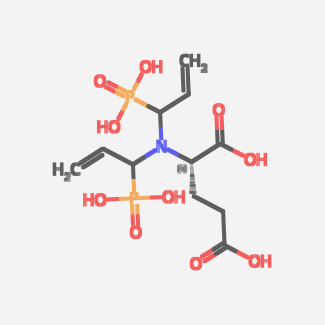 C=CC(N(C(C=C)P(=O)(O)O)[C@@H](CCC(=O)O)C(=O)O)P(=O)(O)O